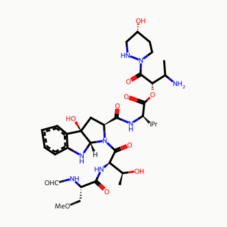 COC[C@H](NC=O)C(=O)N[C@@H](C(=O)N1[C@H](C(=O)N[C@@H](C(=O)O[C@H](C(=O)N2CC[C@@H](O)CN2)C(C)N)C(C)C)C[C@@]2(O)c3ccccc3N[C@@H]12)[C@H](C)O